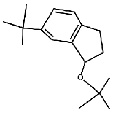 CC(C)(C)OC1CCc2ccc(C(C)(C)C)cc21